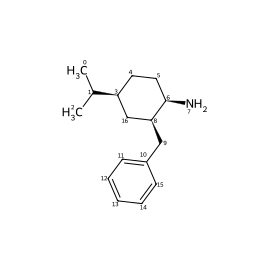 CC(C)[C@H]1CC[C@@H](N)[C@@H](Cc2ccccc2)C1